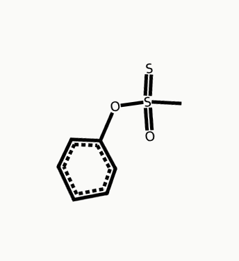 CS(=O)(=S)Oc1ccccc1